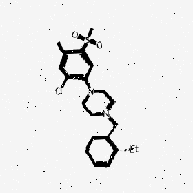 CC[C@@H]1C=CCC[C@H]1CN1CCN(c2cc(S(C)(=O)=O)c(C)cc2Cl)CC1